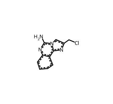 Nc1nc2ccccc2c2nc(CCl)cn12